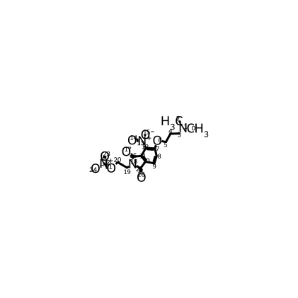 CN(C)CCCOc1ccc2c(c1[N+](=O)[O-])C(=O)N(CCO[N+](=O)[O-])C2=O